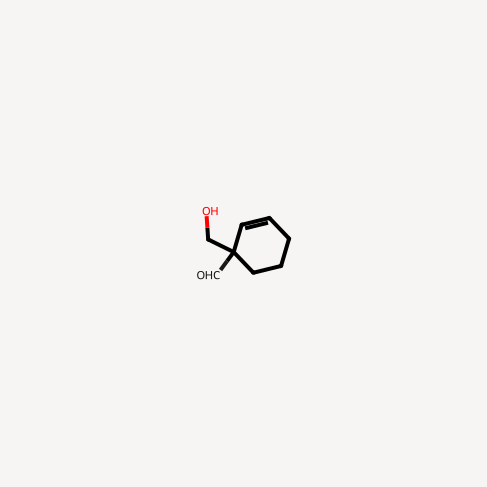 O=CC1(CO)C=CCCC1